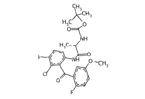 COc1ccc(F)c(C(=O)c2c(NC(=O)C(C)NC(=O)OC(C)(C)C)ccc(I)c2Cl)c1